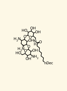 CCCCCCCCCCCCCCCCCC(=O)NCC1OC(OC2C(N)C[C@H](N)C(OC3OC(CO)C(O)C(N)C3O)C2O)C(O)C(O)C1O